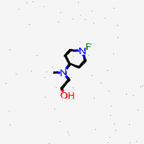 CN(CCO)C1CCN(F)CC1